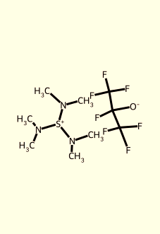 CN(C)[S+](N(C)C)N(C)C.[O-]C(F)(C(F)(F)F)C(F)(F)F